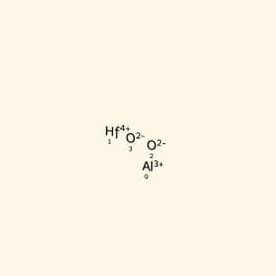 [Al+3].[Hf+4].[O-2].[O-2]